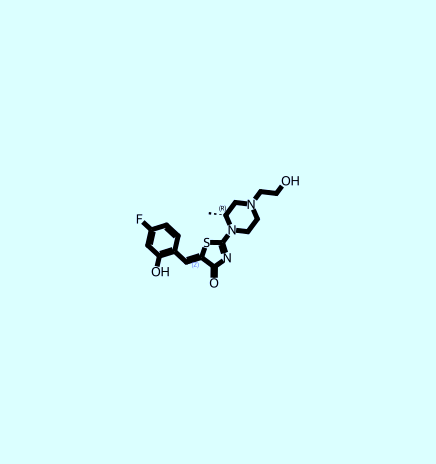 C[C@@H]1CN(CCO)CCN1C1=NC(=O)/C(=C/c2ccc(F)cc2O)S1